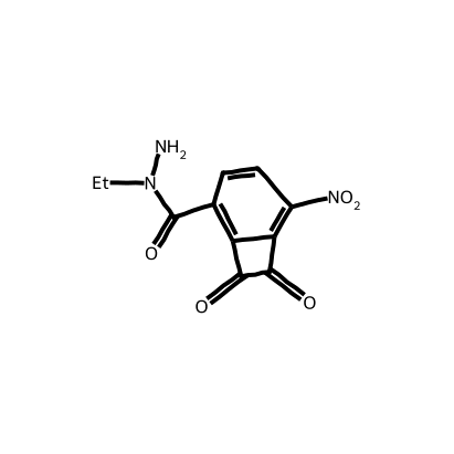 CCN(N)C(=O)c1ccc([N+](=O)[O-])c2c(=O)c(=O)c12